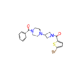 O=C(c1ccccc1)N1CCN(C2CN(C(=O)c3ccc(Br)s3)C2)CC1